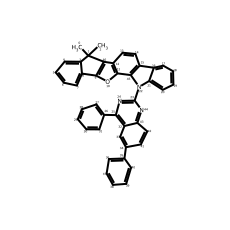 CC1(C)c2ccccc2-c2oc3c(ccc4c5ccccc5n(-c5nc(-c6ccccc6)c6cc(-c7ccccc7)ccc6n5)c43)c21